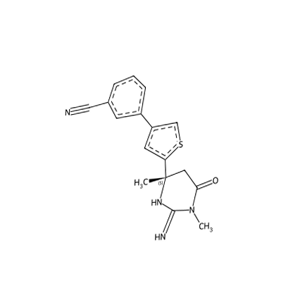 CN1C(=N)N[C@](C)(c2cc(-c3cccc(C#N)c3)cs2)CC1=O